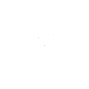 O=C(O)c1ccc(NC(=O)[C@H](Cc2ccccc2)OP(=O)(O)O)cc1